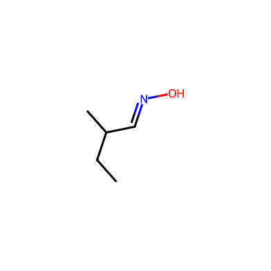 CCC(C)C=NO